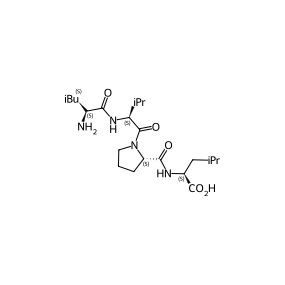 CC[C@H](C)[C@H](N)C(=O)N[C@H](C(=O)N1CCC[C@H]1C(=O)N[C@@H](CC(C)C)C(=O)O)C(C)C